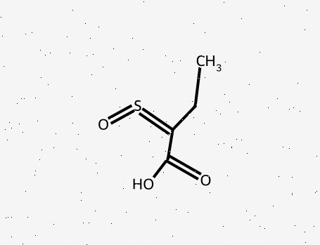 CCC(=S=O)C(=O)O